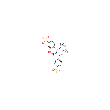 CS(=O)(=O)c1ccc(C(C[N+](=O)[O-])C(=NO)C(C[N+](=O)[O-])c2ccc(S(C)(=O)=O)cc2)cc1